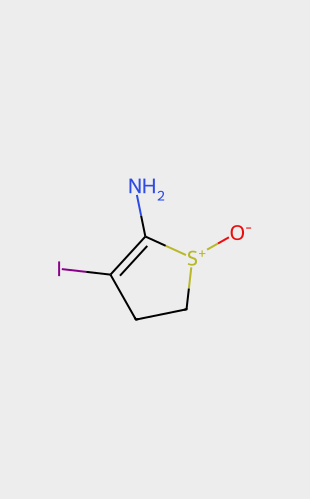 NC1=C(I)CC[S+]1[O-]